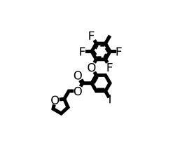 Cc1c(F)c(F)c(OC2=C(C(=O)OCC3CCCO3)C=C(I)CC2)c(F)c1F